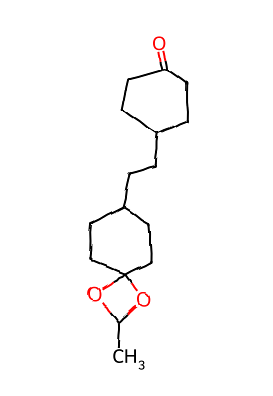 CC1OC2(CCC(CCC3CCC(=O)CC3)CC2)O1